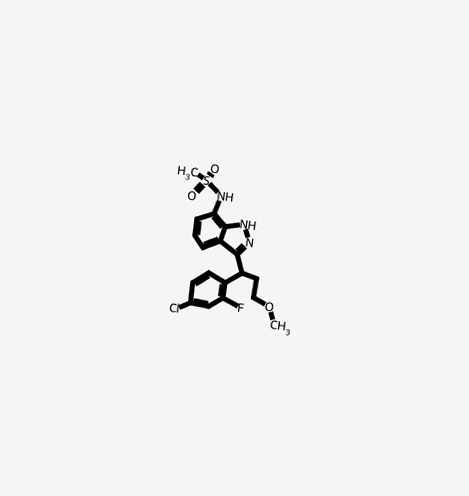 COCCC(c1ccc(Cl)cc1F)c1n[nH]c2c(NS(C)(=O)=O)cccc12